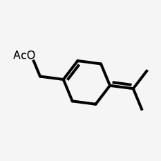 CC(=O)OCC1=CCC(=C(C)C)CC1